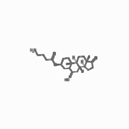 C[C@]12CC[C@H](OC(=O)CCCN)CC1C(=O)C[C@@H]1[C@@H]2CC[C@]2(C)C(=O)CC[C@@H]12.Cl